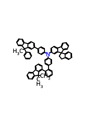 CC1(C)c2ccccc2-c2cccc(-c3ccccc3-c3ccc(N(c4ccc(-c5ccc6c(c5)C(C)(c5ccccc5)c5ccccc5-6)cc4)c4ccc5c(c4)C4(CCc6ccccc64)c4ccccc4-5)cc3)c21